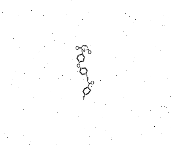 O=C(C=Cc1ccc(Oc2ccc(N3C(=O)C=CC3=O)cc2)cc1)c1ccc(F)cc1